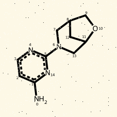 Nc1ccnc(N2CC3COC(C3)C2)n1